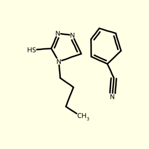 CCCCn1cnnc1S.N#Cc1ccccc1